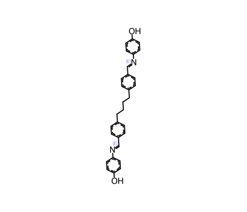 Oc1ccc(/N=C/c2ccc(CCCCc3ccc(/C=N/c4ccc(O)cc4)cc3)cc2)cc1